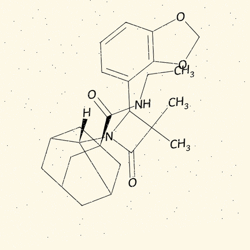 CCNC(=O)[C@]12CC3CC(C1)[C@@H](N1C(=O)C(C)(C)C1c1cccc4c1OCO4)C(C3)C2